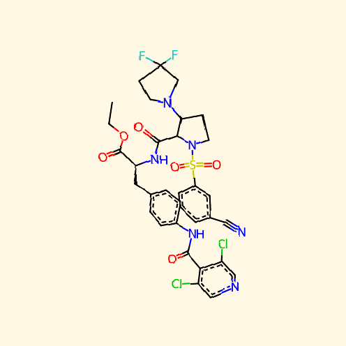 CCOC(=O)[C@H](Cc1ccc(NC(=O)c2c(Cl)cncc2Cl)cc1)NC(=O)C1C(N2CCC(F)(F)C2)CCN1S(=O)(=O)c1cccc(C#N)c1